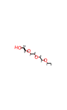 CCOCCOCCOC=CO